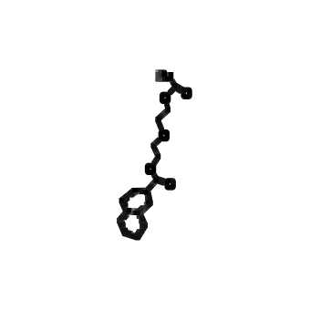 CCC(C)C(=O)OCCOCCOC(=O)c1ccc2ccccc2c1